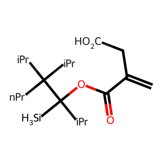 C=C(CC(=O)O)C(=O)OC([SiH3])(C(C)C)C(CCC)(C(C)C)C(C)C